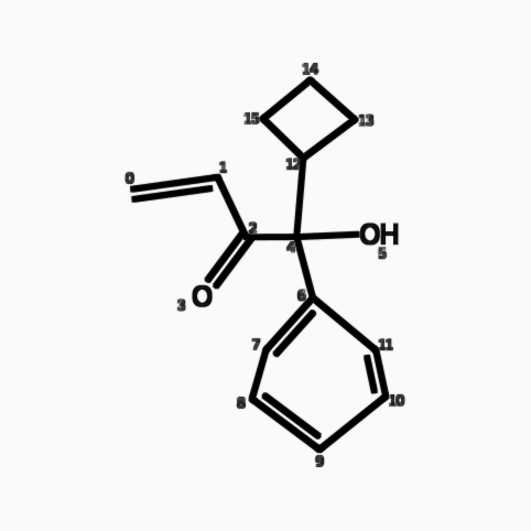 C=CC(=O)C(O)(c1ccccc1)C1CCC1